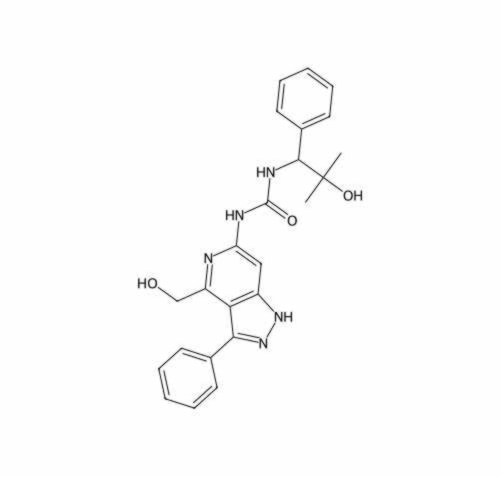 CC(C)(O)C(NC(=O)Nc1cc2[nH]nc(-c3ccccc3)c2c(CO)n1)c1ccccc1